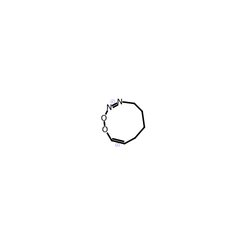 C1=C\OO/N=N\CCCC/1